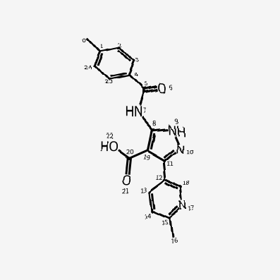 Cc1ccc(C(=O)Nc2[nH]nc(-c3ccc(C)nc3)c2C(=O)O)cc1